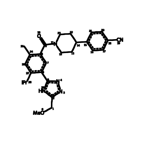 COCc1nnc(-c2cc(C(=O)N3CCC(c4ccc(C#N)cc4)CC3)c(C)cc2C(C)C)[nH]1